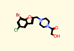 O=C(CO)N1CCN(Cc2cc3cc(Cl)cc(Br)c3o2)CC1